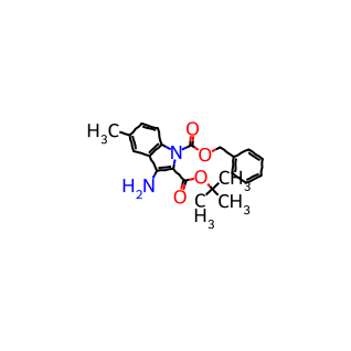 Cc1ccc2c(c1)c(N)c(C(=O)OC(C)(C)C)n2C(=O)OCc1ccccc1